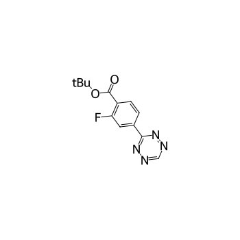 CC(C)(C)OC(=O)c1ccc(-c2nncnn2)cc1F